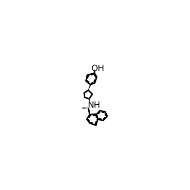 C[C@@H](N[C@H]1CC[C@@H](c2ccc(O)cc2)C1)c1cccc2ccccc12